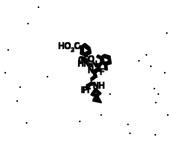 Cc1cccc(C)c1-c1nc(NS(=O)(=O)c2cccc(C(=O)O)c2)nc(CC[C@@H](CC(C)C)NC2CC3(CC3)C2)c1F